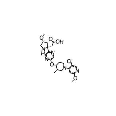 COc1cc(N2CC[C@@H](Oc3cnc([C@]4(CC(=O)O)C[C@@H](OC)CN4)cn3)[C@H](C)C2)c(Cl)cn1